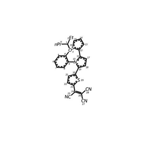 CCCC(CC)Oc1ccccc1-n1c(-c2cccs2)ccc1-c1ccc(C(C#N)=C(C#N)C#N)s1